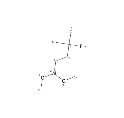 C[O][Al]([CH2]CC(F)(F)F)[O]C